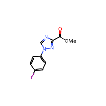 COC(=O)c1ncn(-c2ccc(I)cc2)n1